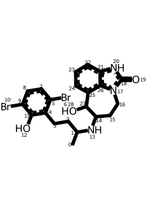 CC(CCc1c(Br)ccc(Br)c1O)NC1CCn2c(=O)[nH]c3cccc(c32)C1O